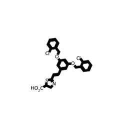 O=C(O)C1CN=C(/C=C/c2cc(OCc3ccccc3Cl)cc(OCc3ccccc3Cl)c2)S1